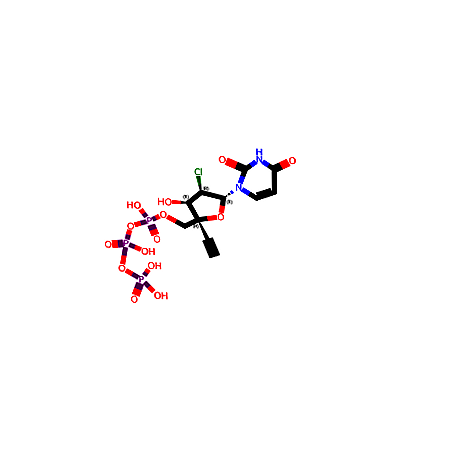 C#C[C@]1(COP(=O)(O)OP(=O)(O)OP(=O)(O)O)O[C@@H](n2ccc(=O)[nH]c2=O)[C@H](Cl)[C@@H]1O